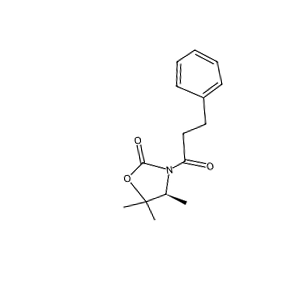 C[C@@H]1N(C(=O)CCc2ccccc2)C(=O)OC1(C)C